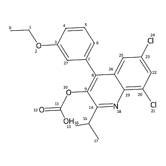 CCOc1cccc(-c2c(OC(=O)O)c(C(C)C)nc3c(Cl)cc(Cl)cc23)c1